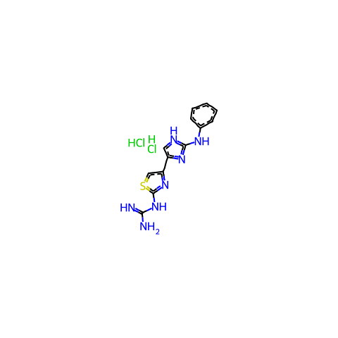 Cl.Cl.N=C(N)Nc1nc(-c2c[nH]c(Nc3ccccc3)n2)cs1